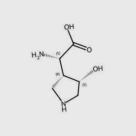 N[C@H](C(=O)O)[C@H]1CNC[C@H]1O